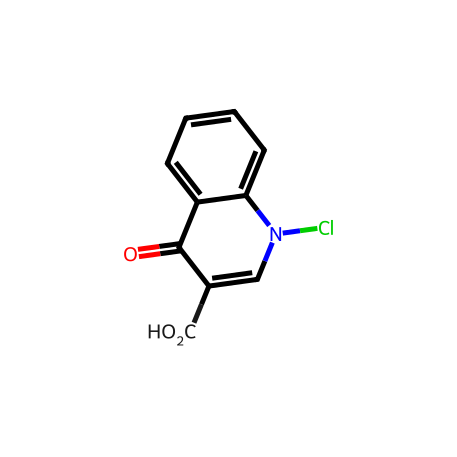 O=C(O)c1cn(Cl)c2ccccc2c1=O